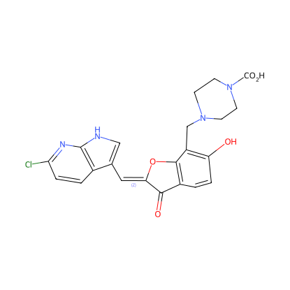 O=C1/C(=C/c2c[nH]c3nc(Cl)ccc23)Oc2c1ccc(O)c2CN1CCN(C(=O)O)CC1